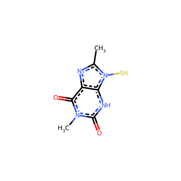 Cc1nc2c(=O)n(C)c(=O)[nH]c2n1S